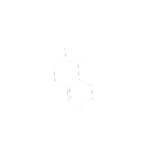 CC(C)(C)C1CCc2nccnc2C1C(C)(C)C